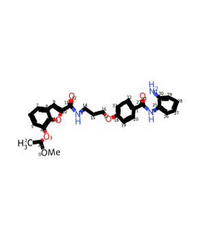 COC(C)Oc1cccc2cc(C(=O)NCCCOc3ccc(C(=O)Nc4ccccc4N)cc3)oc12